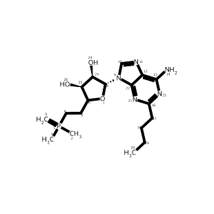 C=P(C)(C)CCC1O[C@@H](n2cnc3c(N)nc(CCCC)nc32)[C@H](O)[C@@H]1O